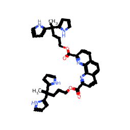 CC(CCCOC(=O)c1ccc2ccc3ccc(C(=O)OCCCC(C)(c4ccc[nH]4)c4ccc[nH]4)nc3c2n1)(c1ccc[nH]1)c1ccc[nH]1